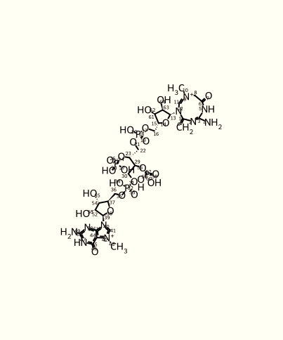 C=C1/N=C(/N)NC(=O)C/[N+](C)=C\N1[C@@H]1O[C@H](COP(=O)(O)OC[C@@H](OP(=O)(O)O)C(COP(=O)(O)OC[C@H]2O[C@@H](n3c[n+](C)c4c(=O)[nH]c(N)nc43)[C@H](O)[C@@H]2O)OP(=O)(O)O)[C@@H](O)[C@H]1O